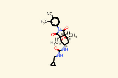 C[C@]12O[C@](C)(C[C@H]1NC(=O)NCC1CC1)[C@H]1C(=O)N(c3ccc(C#N)c(C(F)(F)F)c3)C(=O)[C@H]12